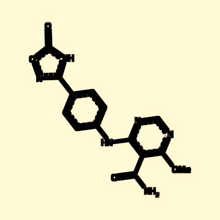 COc1ncnc(Nc2ccc(-c3noc(=O)[nH]3)cc2)c1C(N)=O